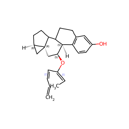 C=C/C=C\C(=C/C)O[C@H]1C[C@]23C[C@H]2CCC3C2CCc3cc(O)ccc3[C@H]21